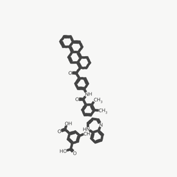 C1=CNc2ccccc2N=C1.Cc1cc(C(=O)O)cc(C(=O)O)c1.Cc1cccc(C(=O)Nc2ccc(C(=O)C3=c4ccc5c(c4CCC3)CC=c3ccccc3=5)cc2)c1C